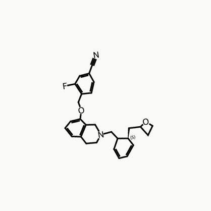 N#Cc1ccc(COc2cccc3c2CN(CC2C=CC=C[C@@H]2CC2CCO2)CC3)c(F)c1